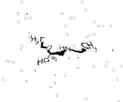 CCNC[C@H](O)OCC